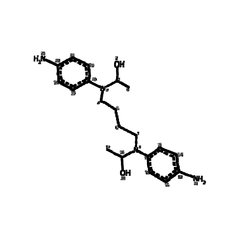 CC(O)N(CCCCN(c1ccc(N)cc1)C(C)O)c1ccc(N)cc1